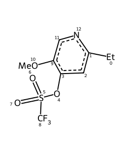 CCc1cc(OS(=O)(=O)C(F)(F)F)c(OC)cn1